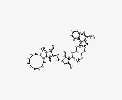 CCCCc1nc2c(N)nc3ccccc3c2n1CCCCN1C(=O)CC(SCC2NC(C3CCCCCCCCCC3)C(C)C2=O)C1=O